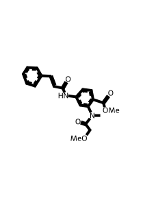 COCC(=O)N(C)c1cc(NC(=O)C=Cc2ccccc2)ccc1C(=O)OC